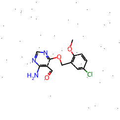 COc1ccc(Cl)cc1COc1ncnc(N)c1C=O